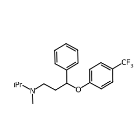 CC(C)N(C)CCC(Oc1ccc(C(F)(F)F)cc1)c1ccccc1